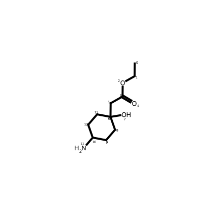 CCOC(=O)CC1(O)CCC(N)CC1